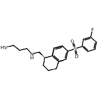 O=S(=O)(c1cccc(F)c1)c1ccc2c(c1)CCC[C@H]2CNCCCS